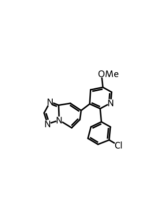 COc1cnc(-c2cccc(Cl)c2)c(-c2ccn3ncnc3c2)c1